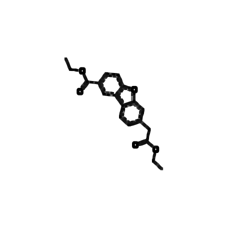 CCOC(=O)Cc1ccc2c(c1)oc1ccc(C(=O)OCC)cc12